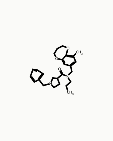 CCCN(Cc1cc(C)c2c(c1)OCCCO2)C(=O)C1CCN(Cc2ccccc2)C1